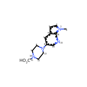 Cn1ccc2cc(N3CCN(C(=O)O)CC3)cnc21